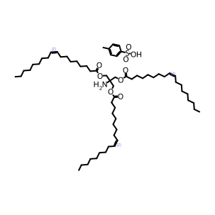 CCCCCCCC/C=C\CCCCCCCC(=O)OCC(N)(COC(=O)CCCCCCC/C=C\CCCCCCCC)COC(=O)CCCCCCC/C=C\CCCCCCCC.Cc1ccc(S(=O)(=O)O)cc1